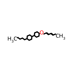 CC/C=C/C=C/COC1CCC(C2CCC(CCCCC)CC2)CC1